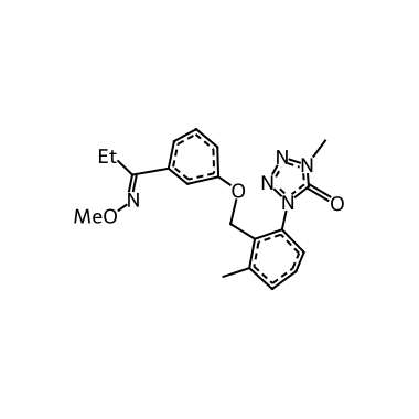 CCC(=NOC)c1cccc(OCc2c(C)cccc2-n2nnn(C)c2=O)c1